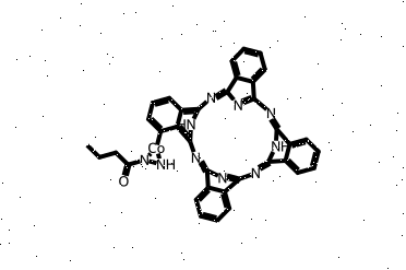 CCCC(=O)[N]1[NH][Co]1[c]1cccc2c3nc4nc(nc5[nH]c(nc6nc(nc([nH]3)c12)-c1ccccc1-6)c1ccccc51)-c1ccccc1-4